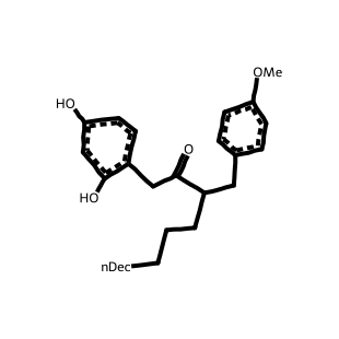 CCCCCCCCCCCCCC(Cc1ccc(OC)cc1)C(=O)Cc1ccc(O)cc1O